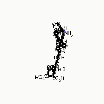 CCC(=O)NCCNC(=O)/N=C(/N)NCCC[C@@H](NC(=O)C(c1ccccc1)c1cccc(NCCCNC(=O)CCOCCNC(C=O)N2CCN(CC(=O)O)CCN(CC(=O)O)CCN(CC(=O)O)CC2)c1)C(=O)NCc1ccc(O)cc1